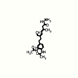 C=C/C(=C\C=C(/C)CC(=O)NN)CCc1ccc(NC(C)=O)c(NC(C)=O)c1